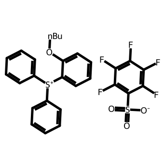 CCCCOc1ccccc1[S+](c1ccccc1)c1ccccc1.O=S(=O)([O-])c1c(F)c(F)c(F)c(F)c1F